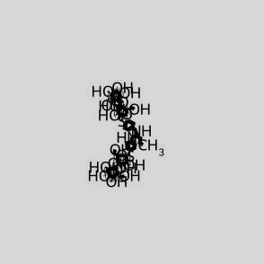 CCCC(Nc1ccc(S[C@@H]2O[C@H](CO)[C@@H](O[C@H]3O[C@H](CO)[C@@H](O)[C@H](O)[C@H]3O)[C@H](O)[C@H]2O)cc1)Nc1ccc(S[C@@H]2O[C@H](CO)[C@@H](O[C@H]3O[C@H](CO)[C@@H](O)[C@H](O)[C@H]3O)[C@H](O)[C@H]2O)cc1